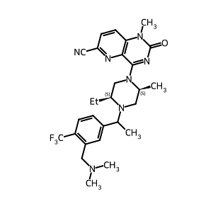 CC[C@H]1CN(c2nc(=O)n(C)c3ccc(C#N)nc23)[C@@H](C)CN1C(C)c1ccc(C(F)(F)F)c(CN(C)C)c1